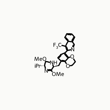 COC1=N[C@H](C(C)C)C(OC)N[C@H]1Cc1ccc(-c2ncc3ccccc3c2C(F)(F)F)c2c1OCCO2